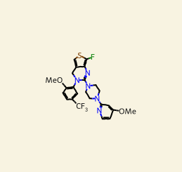 COc1ccnc(N2CCN(C3=Nc4c(csc4F)CN3c3cc(C(F)(F)F)ccc3OC)CC2)c1